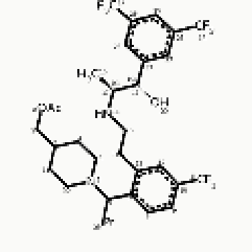 CC(=O)OCC1CCN(C(c2ccc(C(F)(F)F)cc2CCN[C@@H](C)[C@@H](O)c2cc(C(F)(F)F)cc(C(F)(F)F)c2)C(C)C)CC1